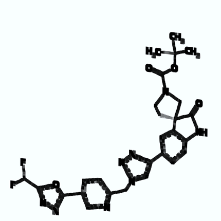 CC(C)(C)OC(=O)N1CC[C@]2(C1)C(=O)Nc1ccc(-c3cn(Cc4ccc(-c5nnc(C(F)F)o5)cn4)nn3)cc12